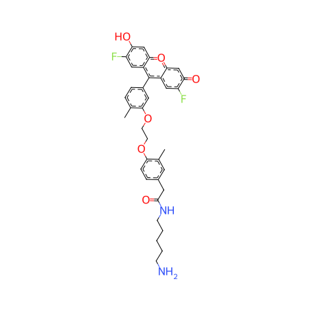 Cc1cc(CC(=O)NCCCCCN)ccc1OCCOc1cc(-c2c3cc(F)c(=O)cc-3oc3cc(O)c(F)cc23)ccc1C